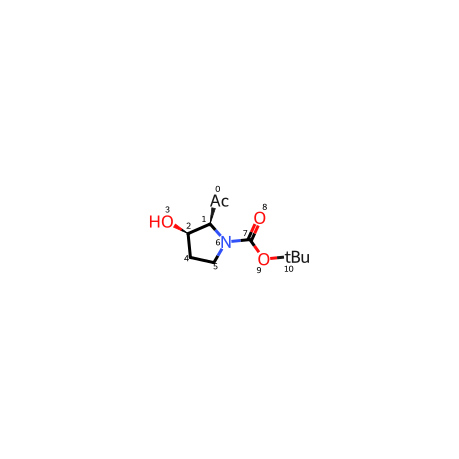 CC(=O)[C@@H]1[C@H](O)CCN1C(=O)OC(C)(C)C